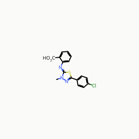 Cn1nc(-c2ccc(Cl)cc2)sc1=Nc1ccccc1C(=O)O